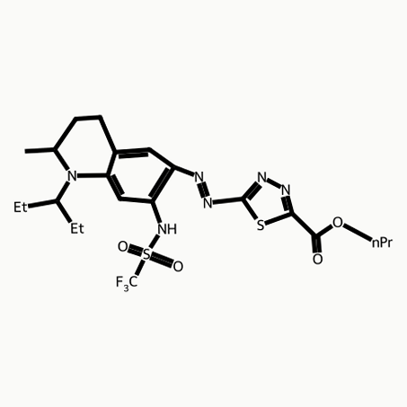 CCCOC(=O)c1nnc(N=Nc2cc3c(cc2NS(=O)(=O)C(F)(F)F)N(C(CC)CC)C(C)CC3)s1